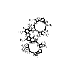 Cc1c2oc3c(C)cc4c(c3nc-2c(C(=O)N[C@@H]2C(=O)NC(C(C)C)C(=O)N3CCC[C@H]3C(=O)N(C)CC(=O)N(C)C(C(C)C)C(=O)O[C@@H]2C)c(N)c1=O)C(=O)N[C@@H]1C(=O)NC(C(C)C)C(=O)N2CCC[C@H]2C(=O)N(C)CC(=O)N(C)C(C(C)C)C(=O)O[C@H]41